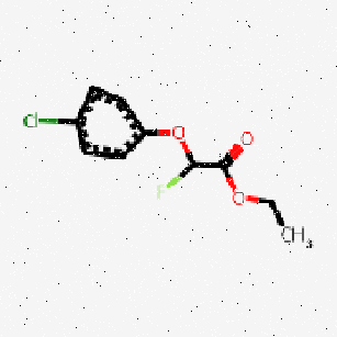 CCOC(=O)C(F)Oc1ccc(Cl)cc1